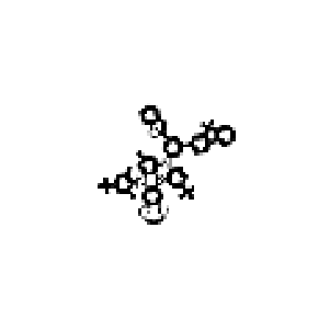 Cc1cc2c3c(c1)N(c1c(C)cc(C(C)(C)C)cc1C)c1cc4c(cc1B3c1cc(C(C)(C)C)ccc1N2c1cc(-c2ccc3c(c2)C(C)(C)c2ccccc2-3)cc(-c2cc3ccccc3o2)c1)OCCCO4